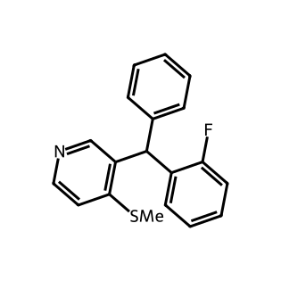 CSc1ccncc1C(c1ccccc1)c1ccccc1F